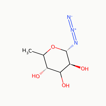 CC1O[C@H](N=[N+]=[N-])[C@@H](O)C(O)[C@@H]1O